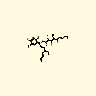 CCCCC(CC)CCN(CC(F)C(F)C(F)C(F)C(F)CCCF)c1cc(F)c(F)c(F)c1F